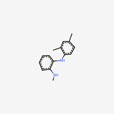 CNc1ccccc1Nc1ccc(C)cc1C